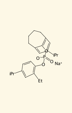 CCc1cc(C(C)C)ccc1OP(=O)([O-])Oc1c2cc(C(C)C)cc1CCCC2.[Na+]